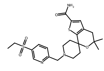 CCS(=O)(=O)c1ccc(CN2CCC3(CC2)OC(C)(C)Cc2cc(C(N)=O)sc23)nc1